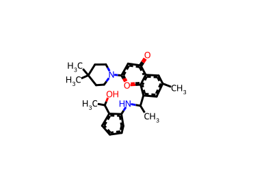 Cc1cc(C(C)Nc2ccccc2C(C)O)c2oc(N3CCC(C)(C)CC3)cc(=O)c2c1